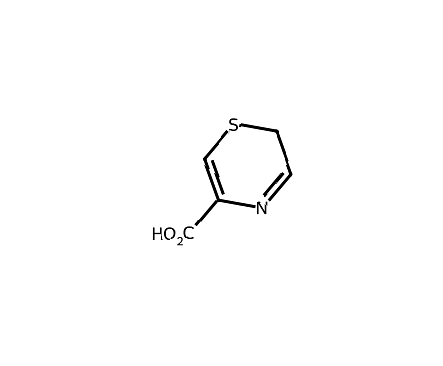 O=C(O)C1=CSCC=N1